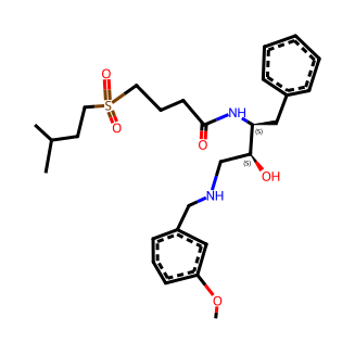 COc1cccc(CNC[C@H](O)[C@H](Cc2ccccc2)NC(=O)CCCS(=O)(=O)CCC(C)C)c1